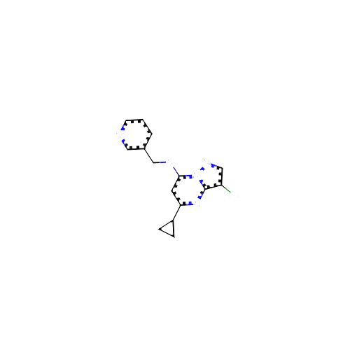 Brc1cnn2c(NCc3cccnc3)cc(C3CC3)nc12